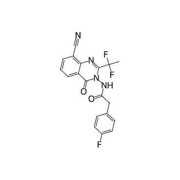 CC(F)(F)c1nc2c(C#N)cccc2c(=O)n1NC(=O)Cc1ccc(F)cc1